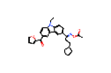 CCn1c2ccc(C(=O)c3ccco3)cc2c2cc(/C(CCC3CCCC3)=N/OC(C)=O)ccc21